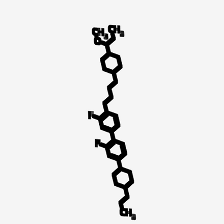 CCCC1CCC(c2ccc(-c3ccc(CCCCC4CCC(C(CC)OC)CC4)c(F)c3)c(F)c2)CC1